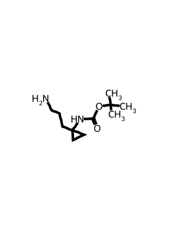 CC(C)(C)OC(=O)NC1(CCCN)CC1